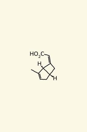 CC1=CC[C@H]2C/C(=C/C(=O)O)[C@@H]12